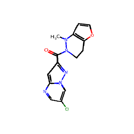 CN1c2ccoc2CCN1C(=O)c1cc2ncc(Cl)cn2n1